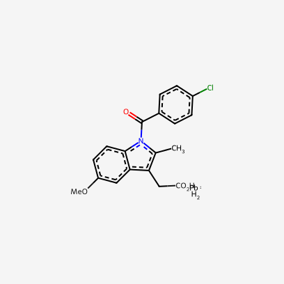 COc1ccc2c(c1)c(CC(=O)O)c(C)n2C(=O)c1ccc(Cl)cc1.[PbH2]